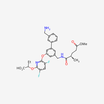 CCC(Oc1nc(Oc2cc(CNC(=O)[C@H](C)CCC(=O)OC)cc(-c3cccc(CN)c3)c2)c(F)cc1F)C(=O)O